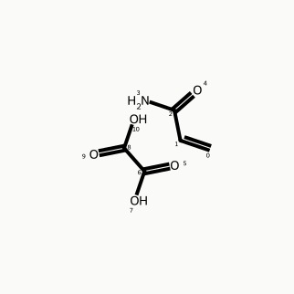 C=CC(N)=O.O=C(O)C(=O)O